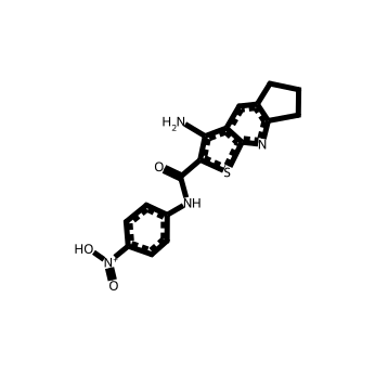 Nc1c(C(=O)Nc2ccc([N+](=O)O)cc2)sc2nc3c(cc12)CCC3